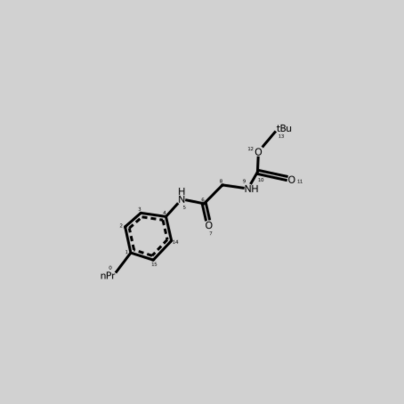 CCCc1ccc(NC(=O)CNC(=O)OC(C)(C)C)cc1